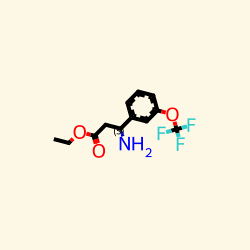 CCOC(=O)C[C@H](N)c1cccc(OC(F)(F)F)c1